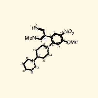 CN/C=C(\C=N)c1cc([N+](=O)[O-])c(OC)cc1N1CCC(N2CCCCC2)CC1